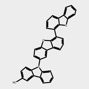 N#Cc1ccc2c(c1)c1ccccc1n2-c1ccc2oc3c(-c4cccc5c4oc4ccccc45)cccc3c2c1